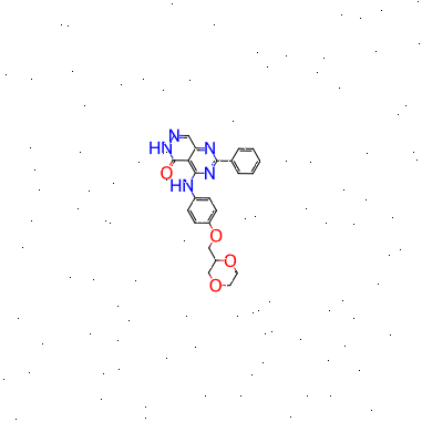 O=c1[nH]ncc2nc(-c3ccccc3)nc(Nc3ccc(OCC4COCCO4)cc3)c12